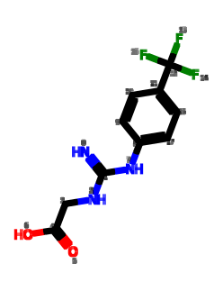 N=C(NCC(=O)O)Nc1ccc(C(F)(F)F)cc1